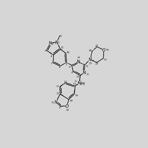 Cn1ncc2ccc(-c3cc(Nc4ccc5ncoc5c4)nc(N4CCOCC4)n3)cc21